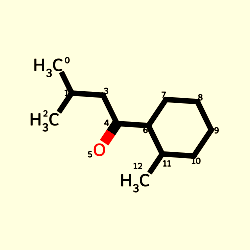 CC(C)CC(=O)C1CCCCC1C